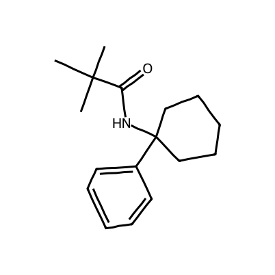 CC(C)(C)C(=O)NC1(c2ccccc2)CCCCC1